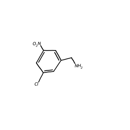 NCc1cc(Cl)cc([N+](=O)[O-])c1